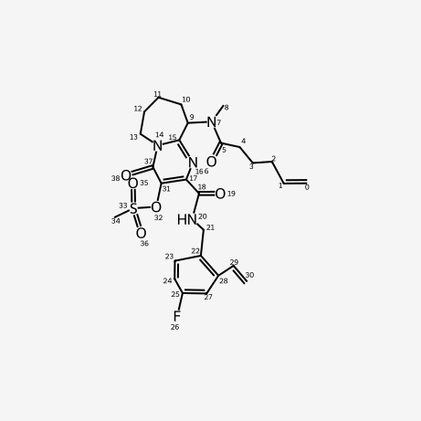 C=CCCCC(=O)N(C)C1CCCCn2c1nc(C(=O)NCc1ccc(F)cc1C=C)c(OS(C)(=O)=O)c2=O